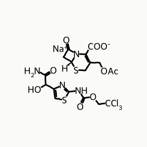 CC(=O)OCC1=C(C(=O)[O-])N2C(=O)C[C@H]2SC1.NC(=O)C(O)c1csc(NC(=O)OCC(Cl)(Cl)Cl)n1.[Na+]